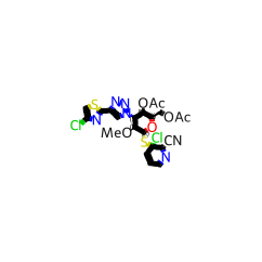 CO[C@@H]1[C@@H](n2cc(-c3nc(Cl)cs3)nn2)[C@@H](OC(C)=O)[C@@H](COC(C)=O)O[C@@H]1SC1(Cl)C=CC=NC1C#N